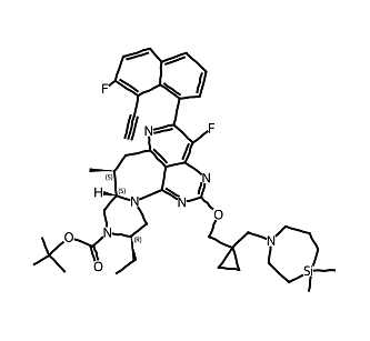 C#Cc1c(F)ccc2cccc(-c3nc4c5c(nc(OCC6(CN7CCC[Si](C)(C)CC7)CC6)nc5c3F)N3C[C@@H](CC)N(C(=O)OC(C)(C)C)C[C@@H]3[C@@H](C)C4)c12